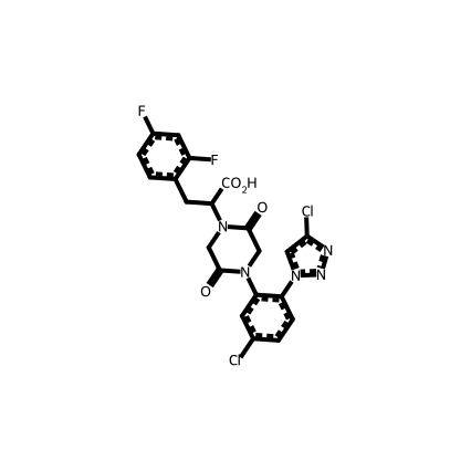 O=C(O)C(Cc1ccc(F)cc1F)N1CC(=O)N(c2cc(Cl)ccc2-n2cc(Cl)nn2)CC1=O